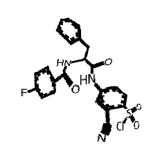 N#Cc1cc(NC(=O)C(Cc2ccccc2)NC(=O)c2ccc(F)cc2)ccc1S(=O)(=O)Cl